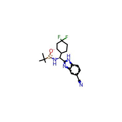 CC(C)(C)[S+]([O-])N[C@H](c1nc2cc(C#N)ccc2[nH]1)C1CCC(F)(F)CC1